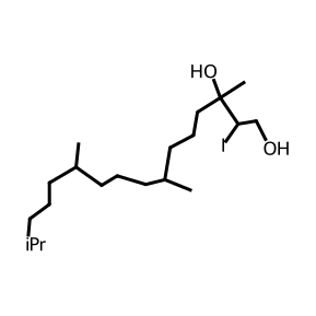 CC(C)CCCC(C)CCCC(C)CCCC(C)(O)C(I)CO